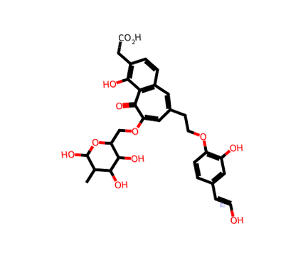 CC1C(O)OC(COc2cc(CCOc3ccc(/C=C/O)cc3O)cc3ccc(CC(=O)O)c(O)c3c2=O)C(O)C1O